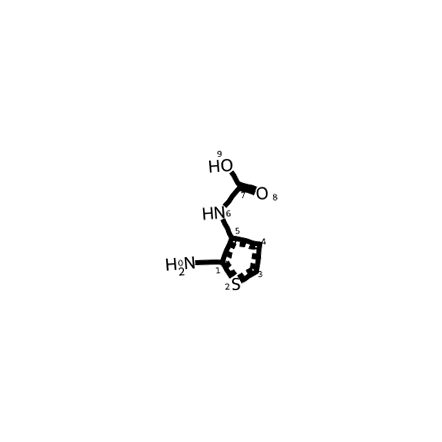 Nc1sccc1NC(=O)O